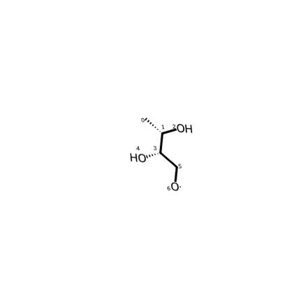 C[C@H](O)[C@@H](O)C[O]